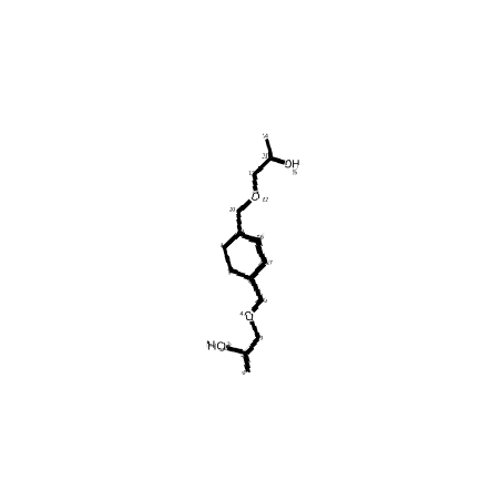 CC(O)COCC1CCC(COCC(C)O)CC1